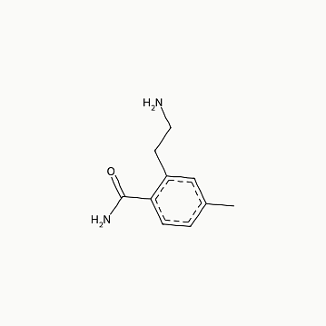 Cc1ccc(C(N)=O)c(CCN)c1